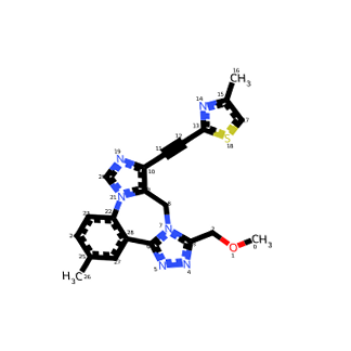 COCc1nnc2n1Cc1c(C#Cc3nc(C)cs3)ncn1-c1ccc(C)cc1-2